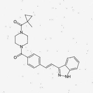 CC1(C(=O)N2CCN(C(=O)c3ccc(C=Cc4n[nH]c5ccccc45)cc3)CC2)CC1